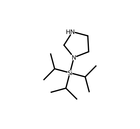 CC(C)[Si](C(C)C)(C(C)C)N1CCNC1